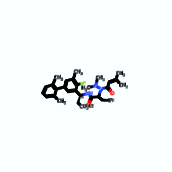 CCOC(=O)C[C@H](NC(=O)C(CC(C)C)N(C(=O)C=C(C)C)N(C)C)c1cc(-c2c(C)cccc2C)cc(C)c1F